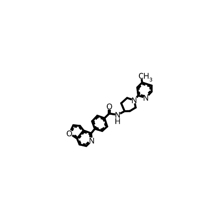 Cc1ccnc(N2CCC(NC(=O)c3ccc(-c4nccc5occc45)cc3)CC2)c1